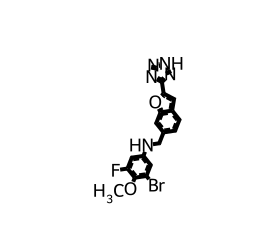 COc1c(F)cc(NCc2ccc3cc(-c4nn[nH]n4)oc3c2)cc1Br